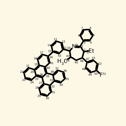 CCC1C(c2ccccc2)=NC(c2cccc(-c3ccc4c5ccccc5c5c6ccccc6c6ccccc6c5c4c3)c2)C(C)CC1c1ccc(F)cc1